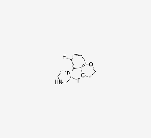 Fc1ccc2c(c1N1CCNCC1F)OCCO2